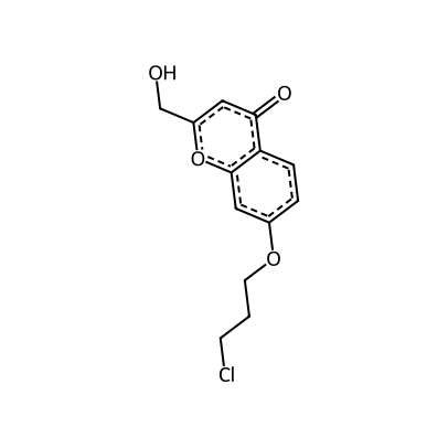 O=c1cc(CO)oc2cc(OCCCCl)ccc12